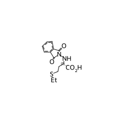 CCSCC[C@H](NN1C(=O)c2ccccc2C1=O)C(=O)O